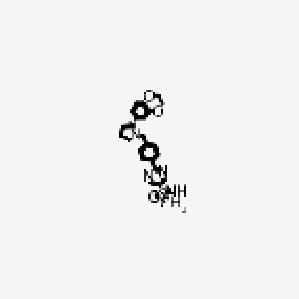 C[S@@](=N)(=O)c1cnc(-c2ccc(CN3CCC[C@@H]3c3ccc4c(c3)OCCO4)cc2)nc1